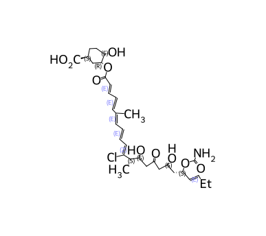 CC/C=C/[C@H](C[C@H](O)CC(=O)C[C@H](O)[C@H](C)/C(Cl)=C/C=C/C=C(C)/C=C/C=C/C(=O)O[C@@H]1C[C@@H](C(=O)O)CC[C@@H]1O)OC(N)=O